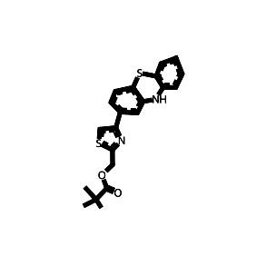 CC(C)(C)C(=O)OCc1nc(-c2ccc3c(c2)Nc2ccccc2S3)cs1